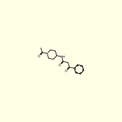 CC(=O)N1CCC(NC(=O)CC(=O)c2ccccc2)CC1